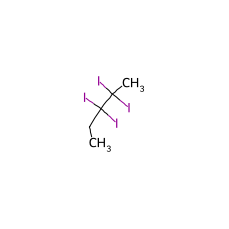 CCC(I)(I)C(C)(I)I